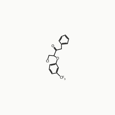 O=C(Cc1ccccc1)C(CCl)Oc1cccc(C(F)(F)F)c1